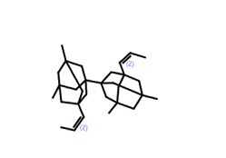 C/C=C\C12CC3(C)CC(C)(C1)CC(C14CC5(C)CC(C)(CC(/C=C\C)(C5)C1)C4)(C3)C2